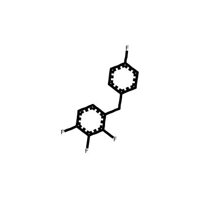 Fc1ccc(Cc2ccc(F)c(F)c2F)cc1